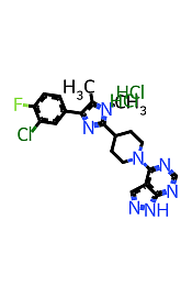 Cc1c(-c2ccc(F)c(Cl)c2)nc(C2CCN(c3ncnc4[nH]ncc34)CC2)n1C.Cl.Cl